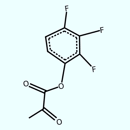 CC(=O)C(=O)Oc1ccc(F)c(F)c1F